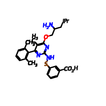 Cc1cccc(C)c1-c1nc(NSc2cccc(C(=O)O)c2)nc(OCC(N)CC(C)C)c1C